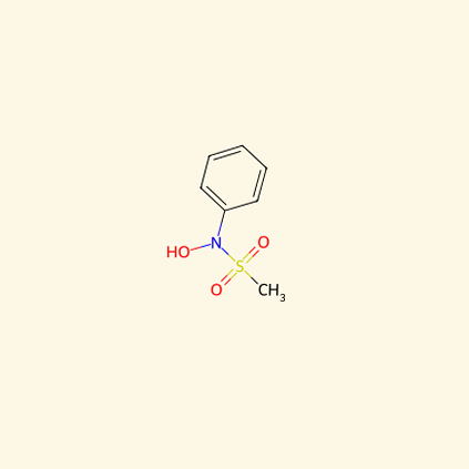 CS(=O)(=O)N(O)c1ccccc1